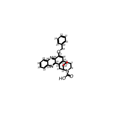 O=C(O)N1CCC23CCCCC2C1Cc1c3cc(OCc2ccccc2)c2nc3ccccc3nc12